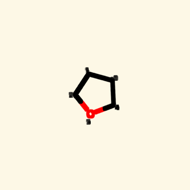 [CH]1C[CH]OC1